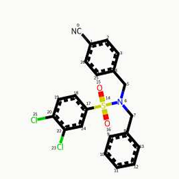 N#Cc1ccc(CN(Cc2ccccc2)S(=O)(=O)c2ccc(Cl)c(Cl)c2)cc1